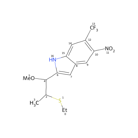 CCSC(C)C(OC)c1cc2cc([N+](=O)[O-])c(C(F)(F)F)cc2[nH]1